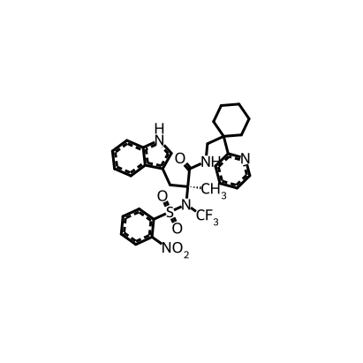 C[C@](Cc1c[nH]c2ccccc12)(C(=O)NCC1(c2ccccn2)CCCCC1)N(C(F)(F)F)S(=O)(=O)c1ccccc1[N+](=O)[O-]